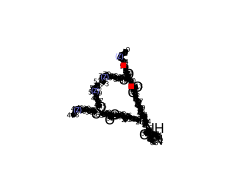 CC/C=C\CCCCOC(CCC(=O)OCCCCCCCN(CCCCCCCOC(=O)CCC(OCCCC/C=C\CC)OCCCC/C=C\CC)CCNC(=O)c1ccncc1)OCCCC/C=C\CC